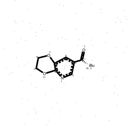 CC[C@@H](C)C(=O)c1cnc2c(c1)OCCO2